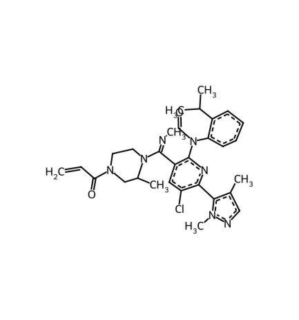 C=CC(=O)N1CCN(/C(=N/C)c2cc(Cl)c(-c3c(C)cnn3C)nc2N(C=O)c2ccccc2C(C)C)C(C)C1